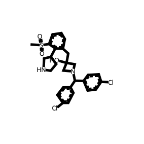 CS(=O)(=O)c1cccc(CC2(O)CN(C(c3ccc(Cl)cc3)c3ccc(Cl)cc3)C2)c1C1CCNC1